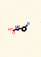 N#Cc1cccc(-c2cc(C(=O)O)no2)c1